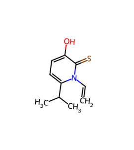 C=Cn1c(C(C)C)ccc(O)c1=S